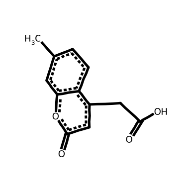 Cc1ccc2c(CC(=O)O)cc(=O)oc2c1